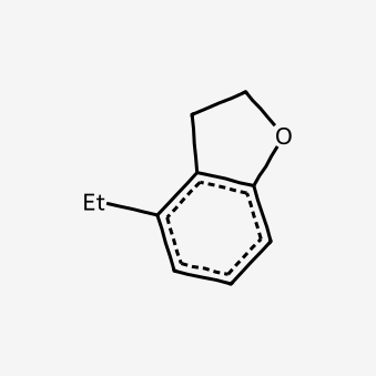 CCc1cccc2c1CCO2